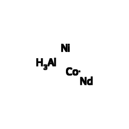 [AlH3].[Co].[Nd].[Ni]